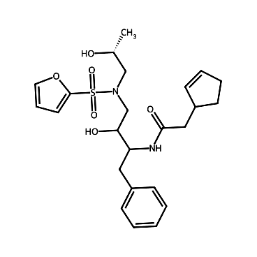 C[C@@H](O)CN(CC(O)C(Cc1ccccc1)NC(=O)CC1C=CCC1)S(=O)(=O)c1ccco1